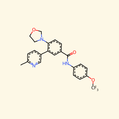 Cc1ccc(-c2cc(C(=O)Nc3ccc(OC(F)(F)F)cc3)ccc2N2CCOC2)cn1